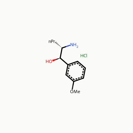 CCC[C@H](N)[C@H](O)c1cccc(OC)c1.Cl